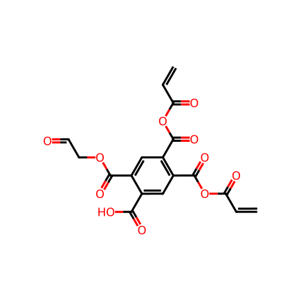 C=CC(=O)OC(=O)c1cc(C(=O)O)c(C(=O)OCC=O)cc1C(=O)OC(=O)C=C